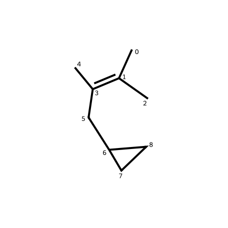 CC(C)=C(C)CC1CC1